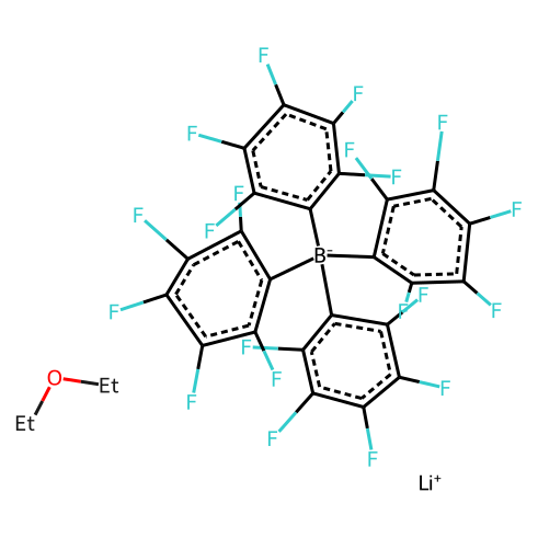 CCOCC.Fc1c(F)c(F)c([B-](c2c(F)c(F)c(F)c(F)c2F)(c2c(F)c(F)c(F)c(F)c2F)c2c(F)c(F)c(F)c(F)c2F)c(F)c1F.[Li+]